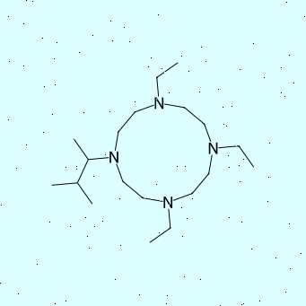 CCN1CCN(CC)CCN(C(C)C(C)C)CCN(CC)CC1